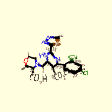 CCOC(=O)C1=C(CN2CCOCC2C(=O)O)NC(c2nncs2)=NC1c1ccc(Cl)cc1Cl